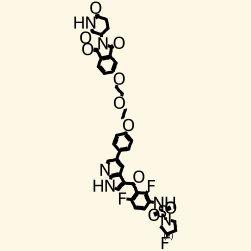 O=C1CCC(N2C(=O)c3ccc(OCCOCCOc4ccc(-c5cnc6[nH]cc(C(=O)c7c(F)ccc(NS(=O)(=O)N8CC[C@@H](F)C8)c7F)c6c5)cc4)cc3C2=O)C(=O)N1